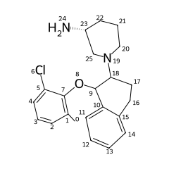 Cc1cccc(Cl)c1OC1c2ccccc2CCC1N1CCC[C@@H](N)C1